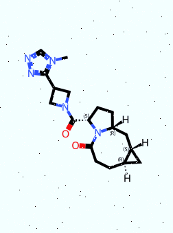 Cn1cnnc1C1CN(C(=O)[C@@H]2CC[C@@H]3C[C@@H]4C[C@H]4CCC(=O)N32)C1